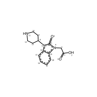 O=C(O)Cn1c(=O)n(C2CCNCC2)c2ccccc21